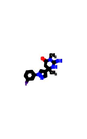 CN1C(=N)NC(C)(c2cnn(-c3cccc(I)c3)c2)CC1=O